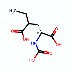 CCC(C[C@@H](NC(=O)O)C(=O)O)C(=O)O